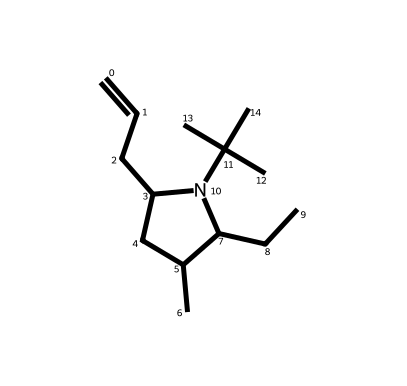 C=CCC1CC(C)C(CC)N1C(C)(C)C